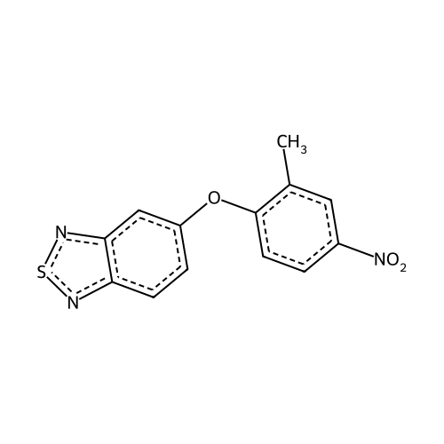 Cc1cc([N+](=O)[O-])ccc1Oc1ccc2nsnc2c1